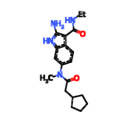 CCNC(=O)c1c(N)[nH]c2cc(N(C)C(=O)CC3CCCC3)ccc12